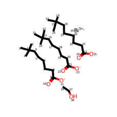 CC(C)(C)CCCCCC(=O)[O-].CC(C)(C)CCCCCC(=O)[O-].CC(C)(C)CCCCCC(=O)[O-].CCO.[Bi+3]